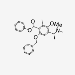 COc1c([C@H](C)N(C)C)cc(OCc2ccccc2)c(C(=O)Oc2ccccc2)c1C